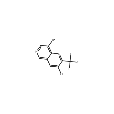 FC(F)(F)c1nc2c(Br)cncc2cc1Cl